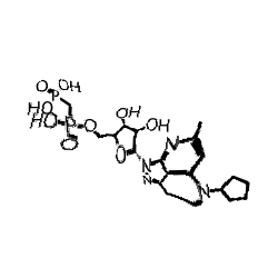 Cc1cc2c3c(nn([C@@H]4OC(COP(=O)(O)CP(=O)(O)O)[C@@H](O)[C@H]4O)c3n1)CCN2C1CCCC1